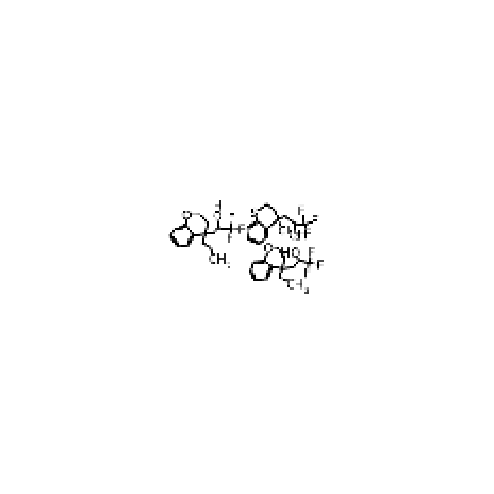 CC1(CC(O)C(F)(F)F)CCSc2ccccc21.CCC1(CC(O)C(F)(F)F)CCOc2ccccc21.CCCC1(CC(O)C(F)(F)F)CCOc2ccccc21